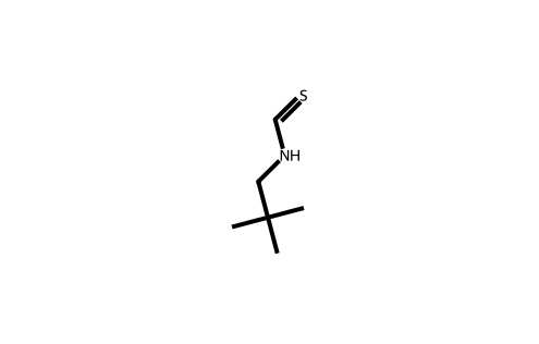 CC(C)(C)CNC=S